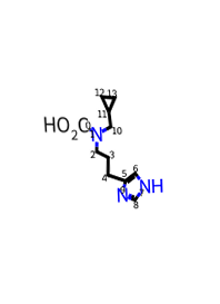 O=C(O)N(CCCc1c[nH]cn1)CC1CC1